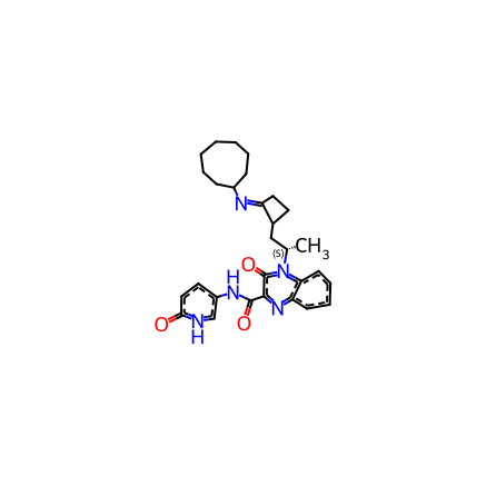 C[C@@H](CC1CCC1=NC1CCCCCCC1)n1c(=O)c(C(=O)Nc2ccc(=O)[nH]c2)nc2ccccc21